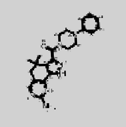 CC1(C)Cc2cnc(N)nc2-c2[nH]nc(C(=O)N3CCN(c4ccccc4)CC3)c21